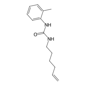 C=CCCCCNC(=O)Nc1ccccc1C